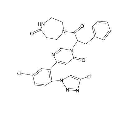 O=C1CCN(C(=O)C(Cc2ccccc2)n2cnc(-c3cc(Cl)ccc3-n3cc(Cl)nn3)cc2=O)CCN1